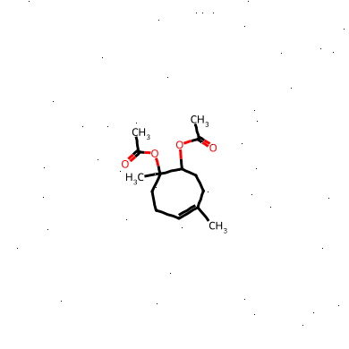 CC(=O)OC1CCC(C)=CCCC1(C)OC(C)=O